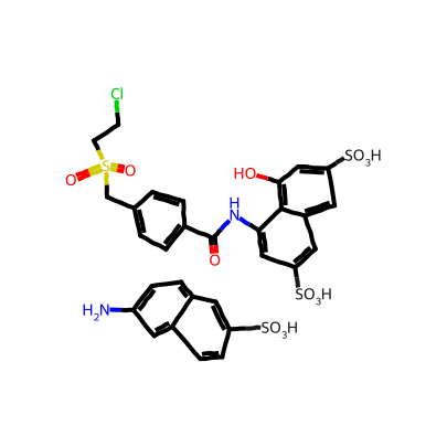 Nc1ccc2cc(S(=O)(=O)O)ccc2c1.O=C(Nc1cc(S(=O)(=O)O)cc2cc(S(=O)(=O)O)cc(O)c12)c1ccc(CS(=O)(=O)CCCl)cc1